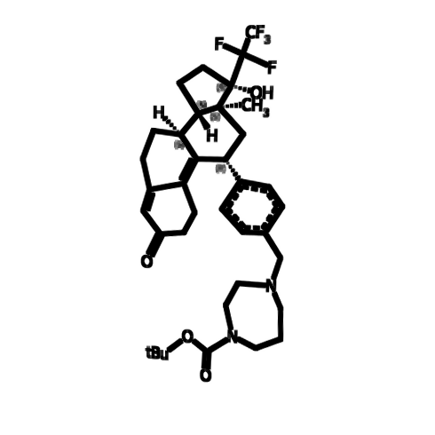 CC(C)(C)OC(=O)N1CCCN(Cc2ccc([C@H]3C[C@@]4(C)[C@@H](CC[C@@]4(O)C(F)(F)C(F)(F)F)[C@@H]4CCC5=CC(=O)CCC5=C43)cc2)CC1